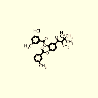 Cc1cccc(C(=O)Oc2ccc(C(=O)C(N)C(C)(C)C)cc2OC(=O)c2cccc(C)c2)c1.Cl